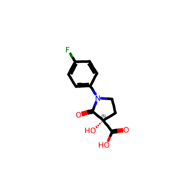 O=C(O)[C@]1(O)CCN(c2ccc(F)cc2)C1=O